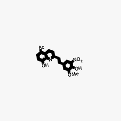 COc1cc(C=Cc2ccc3c(C(C)=O)ccc(O)c3n2)cc([N+](=O)[O-])c1O